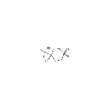 CCC(C)(C)C1(CC)CCS(=O)(=O)CC1